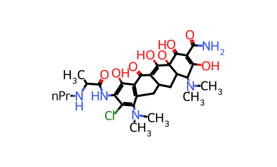 CCCNC(C)C(=O)Nc1c(O)c2c(c(N(C)C)c1Cl)CC1CC3[C@H](N(C)C)C(O)=C(C(N)=O)C(=O)C3(O)C(O)=C1C2=O